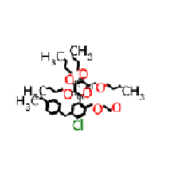 CCCCOC[C@H]1O[C@@H](c2cc(Cc3ccc(CC)cc3)c(Cl)cc2COCC=O)[C@H](OCCCC)[C@@H](OCCCC)[C@@H]1OCCCC